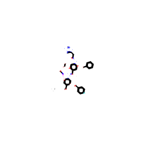 COC(=O)c1cc(OCCO)c(NC(=O)c2cc(OCc3ccccc3)c(NC(=O)Cc3c[nH]cn3)cc2OCCO)cc1OCc1ccc(F)cc1